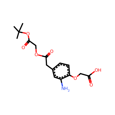 CC(C)(C)OC(=O)COC(=O)Cc1ccc(OCC(=O)O)c(N)c1